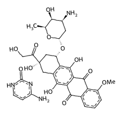 COc1cccc2c1C(=O)c1c(O)c3c(c(O)c1C2=O)C[C@@](O)(C(=O)CO)C[C@@H]3O[C@H]1C[C@H](N)[C@H](O)[C@H](C)O1.Nc1cc[nH]c(=O)n1